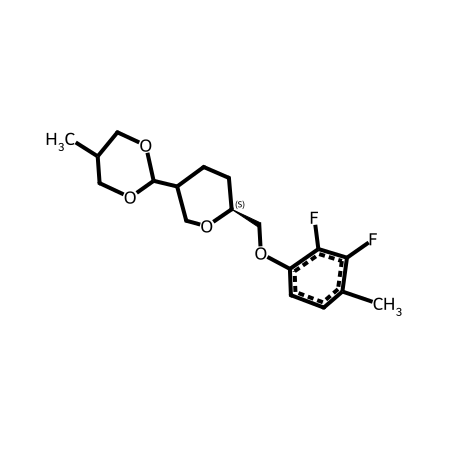 Cc1ccc(OC[C@@H]2CCC(C3OCC(C)CO3)CO2)c(F)c1F